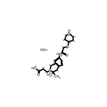 CC1(C)Cc2ccc(NC(=O)COC3CCNCC3)cc2CN1CCC(=O)O.Cl